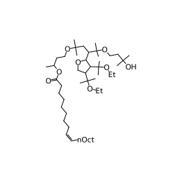 CCCCCCCC/C=C\CCCCCCCC(=O)OC(C)CCOC(C)(C)CC(C1OCC(C(C)(C)OCC)C1C(C)(C)OCC)C(C)(C)OCCC(C)(C)O